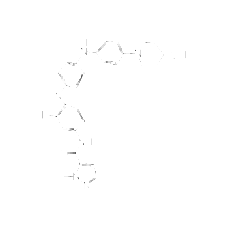 Cn1nccc1C(=O)Nc1ccc(Nc2ccc(Nc3ccc(N4CCC(O)CC4)cc3)cc2)c(F)c1